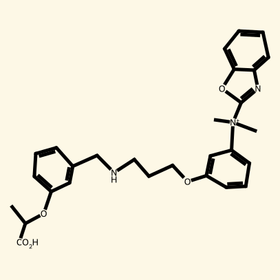 CC(Oc1cccc(CNCCCOc2cccc([N+](C)(C)c3nc4ccccc4o3)c2)c1)C(=O)O